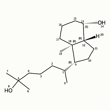 CC(CCCC(C)(C)O)[C@H]1CC[C@H]2[C@@H](O)CCC[C@]12C